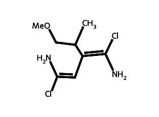 COCC(C)C(/C=C(\N)Cl)=C(/N)Cl